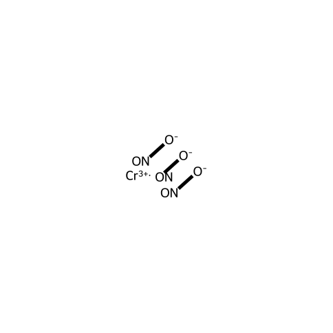 O=N[O-].O=N[O-].O=N[O-].[Cr+3]